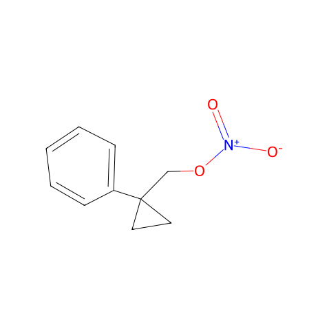 O=[N+]([O-])OCC1(c2ccccc2)CC1